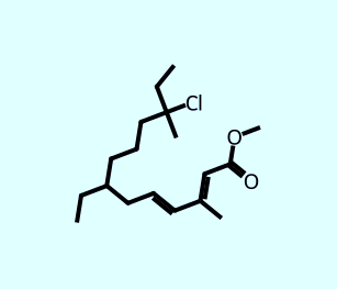 CCC(CC=CC(C)=CC(=O)OC)CCCC(C)(Cl)CC